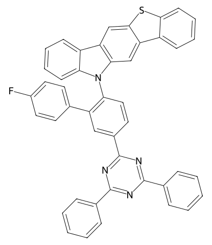 Fc1ccc(-c2cc(-c3nc(-c4ccccc4)nc(-c4ccccc4)n3)ccc2-n2c3ccccc3c3cc4sc5ccccc5c4cc32)cc1